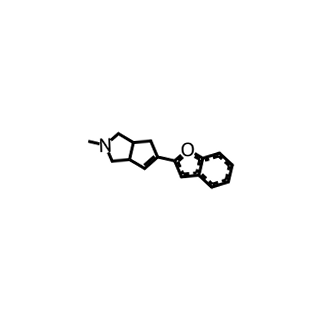 CN1CC2C=C(c3cc4ccccc4o3)CC2C1